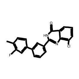 Cc1ccc(-c2cccc(-c3nc4c(Cl)cccc4c(=O)[nH]3)c2)cc1F